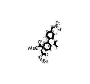 C=C(C)[C@@H]1CC[C@](CC(=O)OC(C)(C)C)(C(=O)OC)C[C@H]1c1ccc(CN(CC)CC)cc1